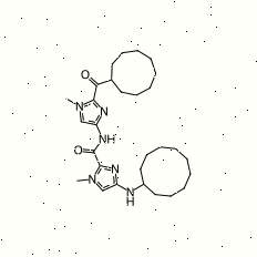 Cn1cc(NC2CCCCCCCCC2)nc1C(=O)Nc1cn(C)c(C(=O)C2CCCCCCCC2)n1